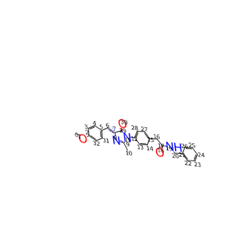 COc1ccc(/C=C2\N=C(C)N(c3ccc(CC(=O)NCc4ccccc4)cc3)C2=O)cc1